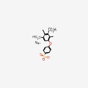 Cc1c(Oc2ccc(S(=O)(=O)[O-])cc2)cc(C(=O)O)c(C)c1C(=O)O.[Na+]